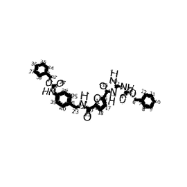 N=C(NC(=O)OCc1ccccc1)NC(=O)c1ccc(C(=O)NCc2ccc(NC(=O)OCc3ccccc3)cc2)o1